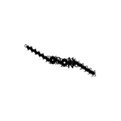 CCCCCCCCCCCCc1ccc(OCC2CCC(c3ncc(CCCCCCCCCC)cn3)CC2)cc1